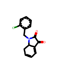 O=C1C(=O)N(Cc2ccccc2Cl)C2CC=CC=C12